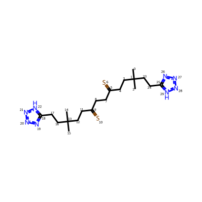 CC(C)(CCC(=S)CCC(=S)CCC(C)(C)CCc1nnn[nH]1)CCc1nnn[nH]1